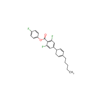 CCCCCC1=CCC(c2cc(F)c(C(=O)Oc3ccc(F)cc3)c(F)c2)C=C1